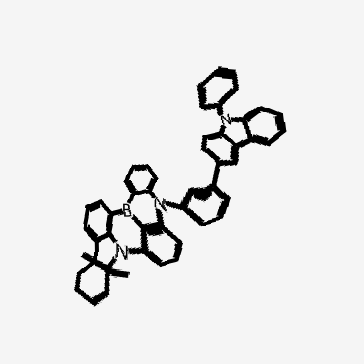 CC12CCCCC1(C)N1c3cccc4c3B(c3ccccc3N4c3cccc(-c4ccc5c(c4)c4ccccc4n5-c4cc#ccc4)c3)c3cccc2c31